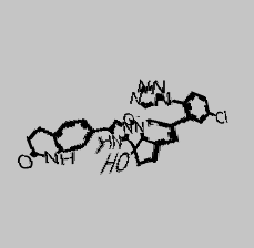 O=C1CCc2ccc(-c3cnc(C4(O)CCc5cc(-c6cc(Cl)ccc6-n6cnnn6)c[n+]([O-])c54)[nH]3)cc2N1